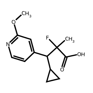 COc1cc(C(C2CC2)C(C)(F)C(=O)O)ccn1